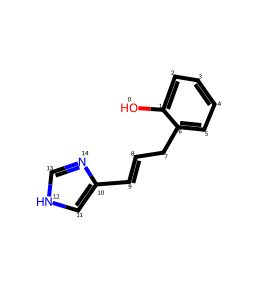 Oc1ccccc1CC=Cc1c[nH]cn1